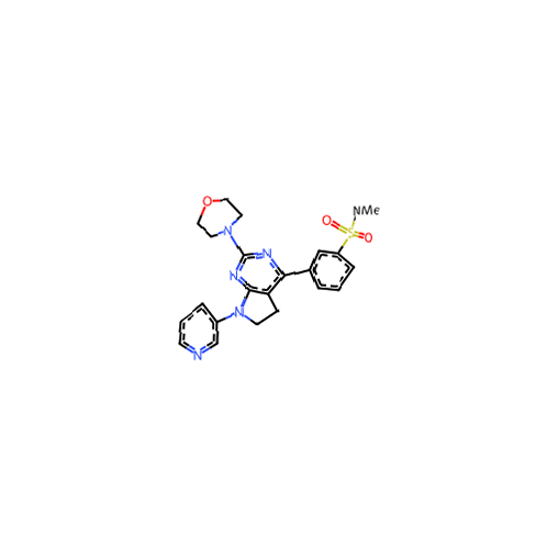 CNS(=O)(=O)c1cccc(-c2nc(N3CCOCC3)nc3c2CCN3c2cccnc2)c1